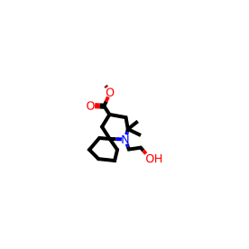 COC(=O)C1CC(C)(C)N(CCO)C2(CCCCC2)C1